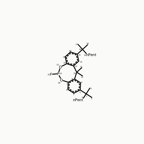 CCCCCC(C)(C)c1ccc2c(c1)C(C)(C)c1cc(C(C)(C)CCCCC)ccc1OP(F)O2